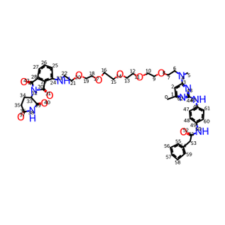 Cc1cc(N(C)CCOCCOCCOCCOCCOCCNc2cccc3c2C(=O)N(C2CCC(=O)NC2=O)C3=O)nc(Nc2ccc(NC(=O)Cc3ccccc3)cc2)n1